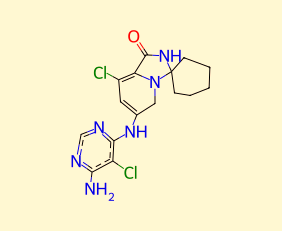 Nc1ncnc(NC2=CC(Cl)=C3C(=O)NC4(CCCCC4)N3C2)c1Cl